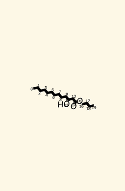 CCCCCCCCCCC(O)CC(=O)OCCCC